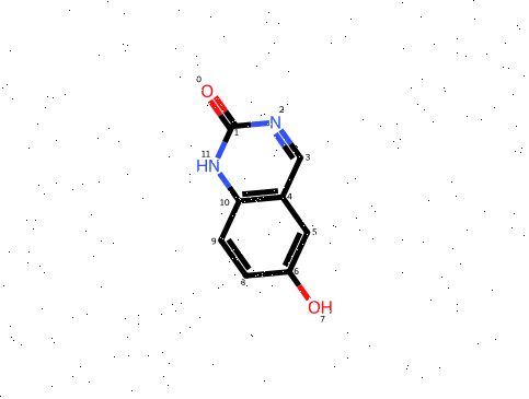 O=c1ncc2cc(O)ccc2[nH]1